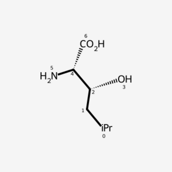 CC(C)C[C@@H](O)[C@H](N)C(=O)O